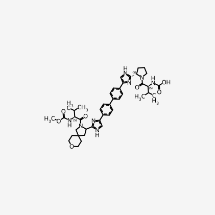 COC(=O)N[C@H](C(=O)N1CC2(CCOCC2)CC1c1nc(-c2ccc(-c3ccc(-c4c[nH]c([C@@H]5CCCN5C(=O)[C@@H](NC(=O)O)C(C)C)n4)cc3)cc2)c[nH]1)C(C)C